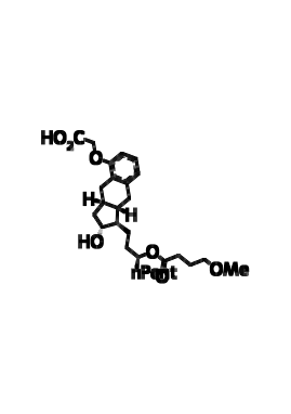 CCCCC[C@@H](CC[C@@H]1[C@H]2Cc3cccc(OCC(=O)O)c3C[C@H]2C[C@H]1O)OC(=O)CCCOC